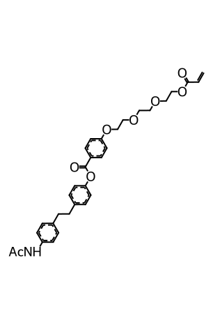 C=CC(=O)OCCOCCOCCOc1ccc(C(=O)Oc2ccc(CCc3ccc(NC(C)=O)cc3)cc2)cc1